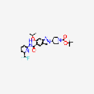 CC(C)Oc1cc2nn(C3CCN(C(=O)OC(C)(C)C)CC3)cc2cc1C(=O)Nc1cccc(C(F)F)n1